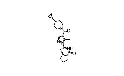 Cc1c(C(=O)N2CCC(C3CC3)CC2)cnn1-c1nc2c(c(=O)[nH]1)CCC2